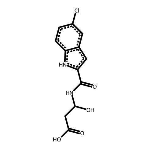 O=C(O)CC(O)NC(=O)c1cc2cc(Cl)ccc2[nH]1